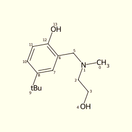 CN(CCO)Cc1cc(C(C)(C)C)ccc1O